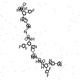 COCCS(=O)(=O)Nc1cc(-c2ccc(F)cc2F)cc(-c2cnc3cc(-c4cnn(CCN(C)CCOC(=O)Nc5cc(-c6ccc(F)cc6F)cc(-c6cnc7n6C=CC(/C(C=N)=C/NCCONC(=O)Nc6cc(-c8ccc(F)cc8F)cc(-c8cnc9cc(-c%10cnn(C)c%10)ccn89)c6)C7)c5)c4)ccn23)c1